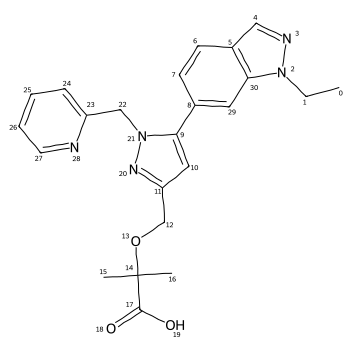 CCn1ncc2ccc(-c3cc(COC(C)(C)C(=O)O)nn3Cc3ccccn3)cc21